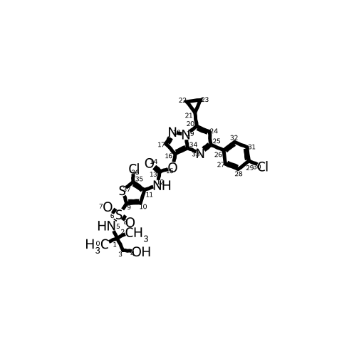 CC(C)(CO)NS(=O)(=O)c1cc(NC(=O)Oc2cnn3c(C4CC4)cc(-c4ccc(Cl)cc4)nc23)c(Cl)s1